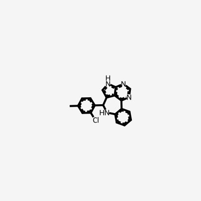 Cc1ccc(C2Nc3ccccc3-c3ncnc4[nH]cc2c34)c(Cl)c1